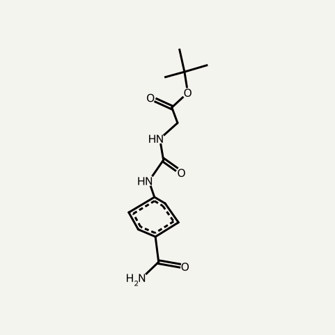 CC(C)(C)OC(=O)CNC(=O)Nc1ccc(C(N)=O)cc1